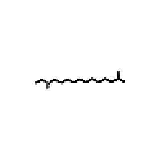 CCNCCCCCCCCCCC(C)C